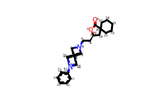 O=C1O[C@H](CCN2CC3(C2)CN(c2ccccc2)C3)CC12CCCCC2